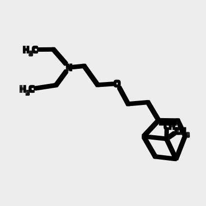 CCN(CC)CCOCCC1=CCC2CC1C2(C)C